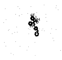 O=C1Nc2cc(C(F)(F)F)ccc2/C1=C(/CNc1ccc(CN2CCCCC2)cc1)c1ccccc1